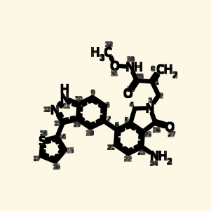 C=C(CN1Cc2c(-c3ccc4[nH]nc(-c5cccs5)c4c3)ccc(N)c2C1=O)C(=O)NOC